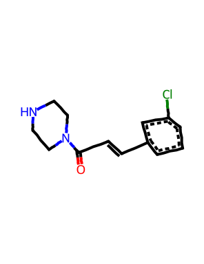 O=C(C=Cc1cccc(Cl)c1)N1CCNCC1